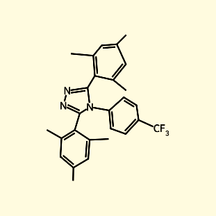 Cc1cc(C)c(-c2nnc(-c3c(C)cc(C)cc3C)n2-c2ccc(C(F)(F)F)cc2)c(C)c1